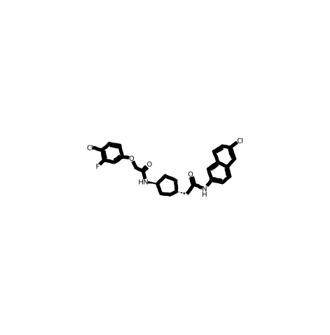 O=C(C[C@H]1CC[C@H](NC(=O)COc2ccc(Cl)c(F)c2)CC1)Nc1ccc2cc(Cl)ccc2c1